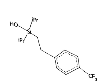 CC(C)[Si](O)(CCc1ccc(C(F)(F)F)cc1)C(C)C